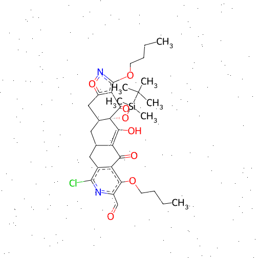 CCCCOc1noc2c1C(=O)[C@@]1(O[Si](C)(C)C(C)(C)C)C(O)=C3C(=O)c4c(c(Cl)nc(C=O)c4OCCCC)CC3CC1C2